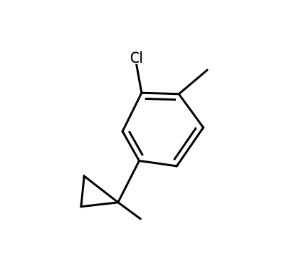 Cc1ccc(C2(C)CC2)cc1Cl